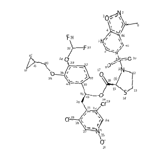 Cc1noc2ncc(S(=O)(=O)N3CCS[C@H]3C(=O)O[C@@H](Cc3c(Cl)c[n+]([O-])cc3Cl)c3ccc(OC(F)F)c(OCC4CC4)c3)cc12